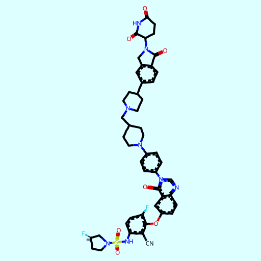 N#Cc1c(NS(=O)(=O)N2CC[C@@H](F)C2)ccc(F)c1Oc1ccc2ncn(-c3ccc(N4CCC(CN5CCC(c6ccc7c(c6)CN(C6CCC(=O)NC6=O)C7=O)CC5)CC4)cc3)c(=O)c2c1